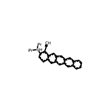 C#Cc1c([SiH](C(C)C)C(C)C)ccc2cc3cc4cc5ccccc5cc4cc3cc12